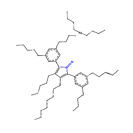 CCCCCCCCC1=C(c2cc(CCCC)cc(CCCCC)c2)[N+](=[N-])C(c2cc(CCCC)cc(CCCCC)c2)=C1CCCCC.CCC[CH2][Pd][CH2]CCC